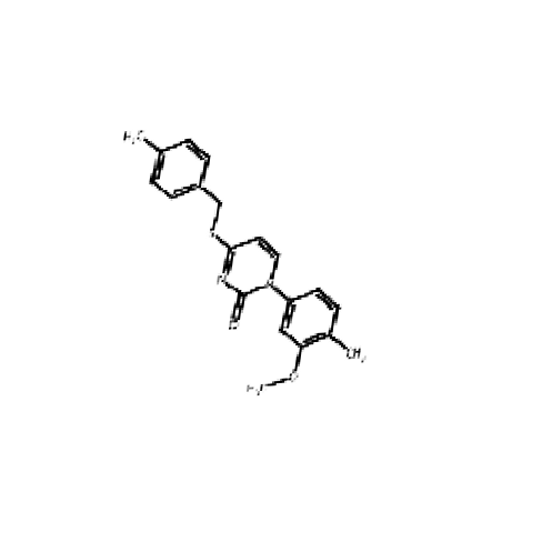 COc1cc(-n2ccc(SCc3ccc(C)cc3)nc2=O)ccc1C